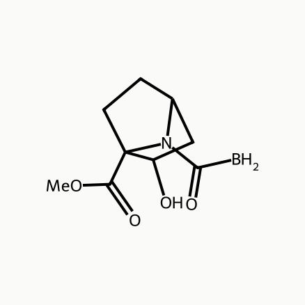 BC(=O)N1C2CCC1(C(=O)OC)C(O)C2